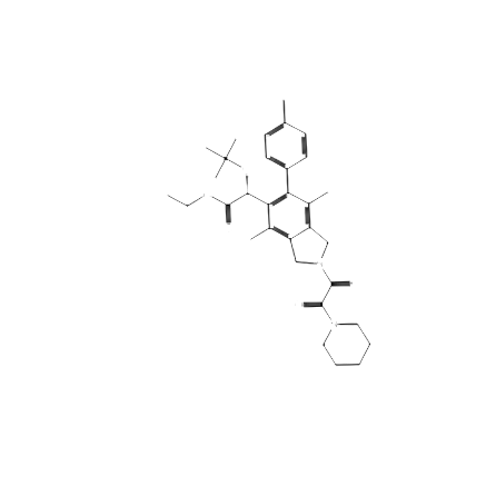 CCOC(=O)[C@@H](OC(C)(C)C)c1c(C)c2c(c(C)c1-c1ccc(C)cc1)CN(C(=O)C(=O)N1CCCCC1)C2